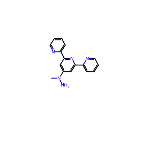 CN(N)c1cc(-c2ccccn2)nc(-c2ccccn2)c1